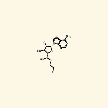 Nc1ncnc2c1ncn2[C@@H]1O[C@H](C(O)OCCF)[C@@H](O)[C@H]1O